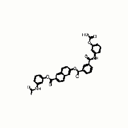 CC(=O)Nc1cccc(OC(=O)c2ccc3cc(OC(=O)c4cccc(C(=O)Nc5cccc(OC(=O)O)c5)c4)ccc3c2)c1